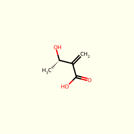 C=C(C(=O)O)[C@H](C)O